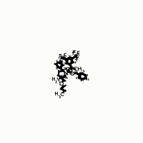 CCCCOC[C@]1(N)CC[C@@](CO[C@H](C)c2cc(C(F)(F)F)cc(C(F)(F)F)c2)(c2ccccc2)N(C(=O)OCc2ccccc2)C1